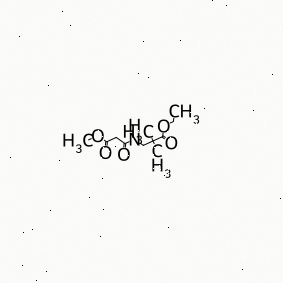 CCOC(=O)C(C)(C)CNC(=O)CC(=O)OC